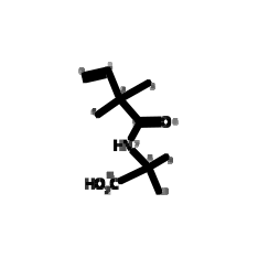 C=CC(C)(C)C(=O)NC(C)(C)C(=O)O